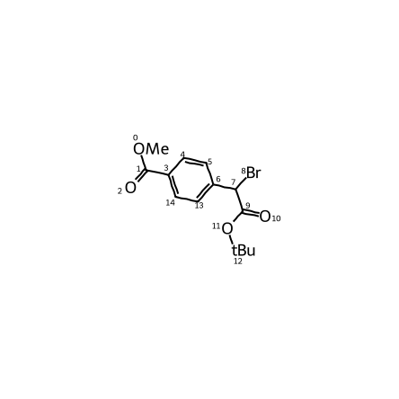 COC(=O)c1ccc(C(Br)C(=O)OC(C)(C)C)cc1